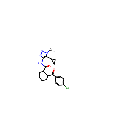 Cn1nnc(NC(=O)C2CCCCC2C(=O)c2ccc(Br)cc2)c1C1CC1